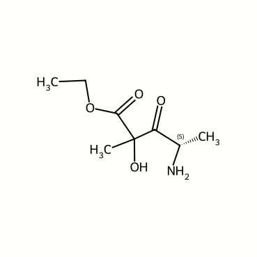 CCOC(=O)C(C)(O)C(=O)[C@H](C)N